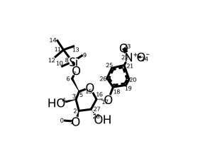 CO[C@H]1[C@@H](O)[C@@H](CO[Si](C)(C)C(C)(C)C)O[C@H](Oc2ccc([N+](=O)[O-])cc2)[C@@H]1O